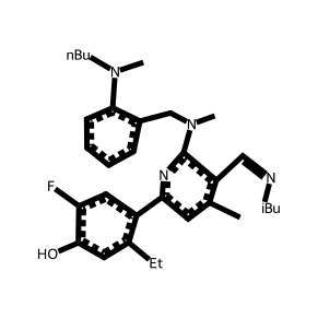 CCCCN(C)c1ccccc1CN(C)c1nc(-c2cc(F)c(O)cc2CC)cc(C)c1/C=N\C(C)CC